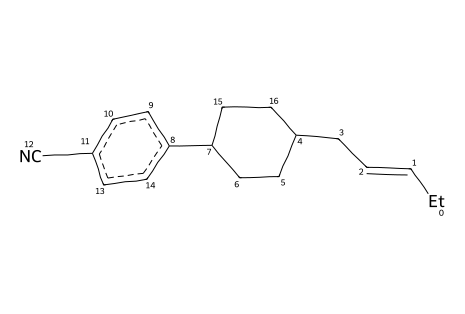 CC/C=C/CC1CCC(c2ccc(C#N)cc2)CC1